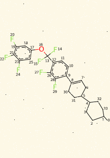 CC1CCC(C2CC=C(c3ccc(C(F)(F)Oc4cc(F)c(F)c(F)c4)c(F)c3F)CC2)CC1